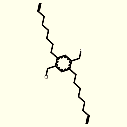 C=CCCCCCCc1cc(CCl)c(CCCCCCC=C)cc1CCl